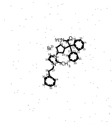 Cc1n(C2CCC(C(C(N)=O)(c3ccccc3)c3ccccc3)C2)cc[n+]1CCc1ccccc1.[Br-]